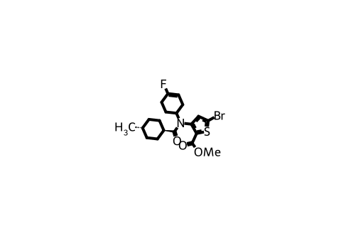 COC(=O)c1sc(Br)cc1N(C(=O)[C@H]1CC[C@H](C)CC1)C1CC=C(F)CC1